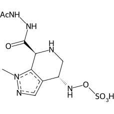 CC(=O)NNC(=O)[C@H]1NC[C@H](NOS(=O)(=O)O)c2cnn(C)c21